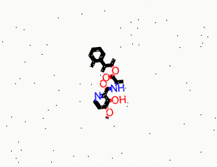 COc1ccnc(C(=O)NC(C)C(=O)OC(C)C(C)c2ccccc2C)c1O